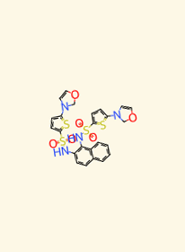 O=S(=O)(Nc1ccc2ccccc2c1NS(=O)(=O)c1ccc(N2C=COC2)s1)c1ccc(N2C=COC2)s1